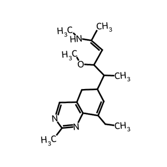 CCC1=CC(C(C)C(/C=C(/C)NC)OC)Cc2cnc(C)nc21